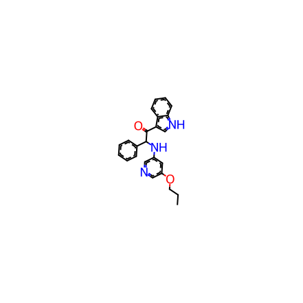 CCCOc1cncc(NC(C(=O)c2c[nH]c3ccccc23)c2ccccc2)c1